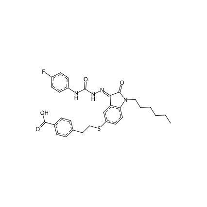 CCCCCCN1C(=O)/C(=N/NC(=O)Nc2ccc(F)cc2)c2cc(SCCc3ccc(C(=O)O)cc3)ccc21